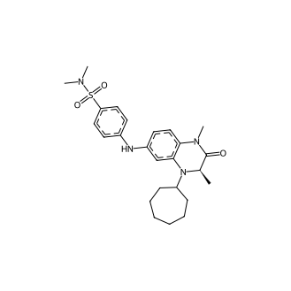 C[C@@H]1C(=O)N(C)c2ccc(Nc3ccc(S(=O)(=O)N(C)C)cc3)cc2N1C1CCCCCC1